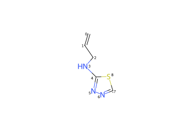 C=CCNc1nn[c]s1